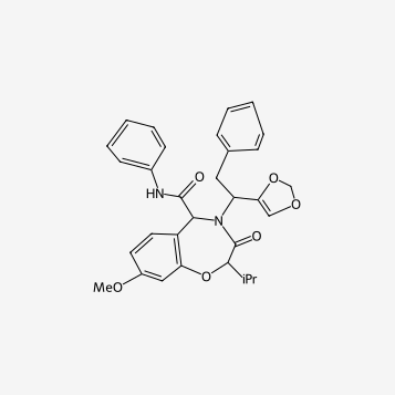 COc1ccc2c(c1)OC(C(C)C)C(=O)N(C(Cc1ccccc1)C1=COCO1)C2C(=O)Nc1ccccc1